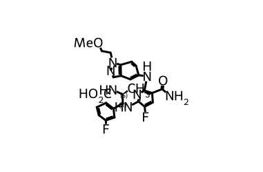 COCCn1ncc2cc(Nc3nc(N[C@H](c4cccc(F)c4)[C@H](C)NC(=O)O)c(F)cc3C(N)=O)ccc21